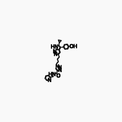 O=C(NCc1ccccn1)c1cn(CCCCc2cc3c(-c4ccc(O)cc4)c(C4CC4)[nH]c3nn2)nn1